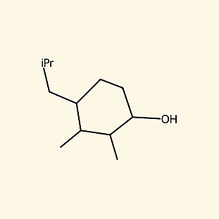 CC(C)CC1CCC(O)C(C)C1C